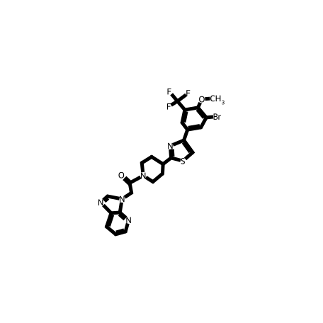 COc1c(Br)cc(-c2csc(C3CCN(C(=O)Cn4cnc5cccnc54)CC3)n2)cc1C(F)(F)F